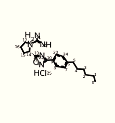 CCCCCCc1ccc(-c2noc([C@@H]3CCCN3C(=N)N)n2)cc1.Cl